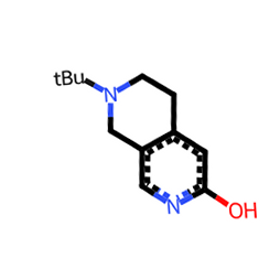 CC(C)(C)N1CCc2cc(O)ncc2C1